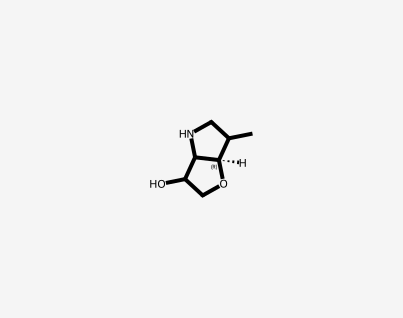 CC1CNC2C(O)CO[C@H]12